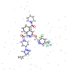 Cc1cnn(C2CCN(C(=O)c3nc(OCc4ncc(C(F)(F)F)cc4Cl)cc4c(C(=O)N5CCCCC5)cccc34)CC2)c1